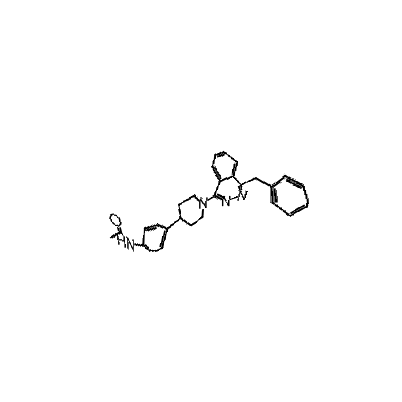 CC(=O)Nc1ccc(C2CCN(c3nnc(Cc4ccccc4)c4ccccc34)CC2)cc1